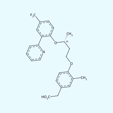 Cc1cc(CC(=O)O)ccc1OCC[C@@H](C)Oc1ccc(C(F)(F)F)cc1-c1ccccn1